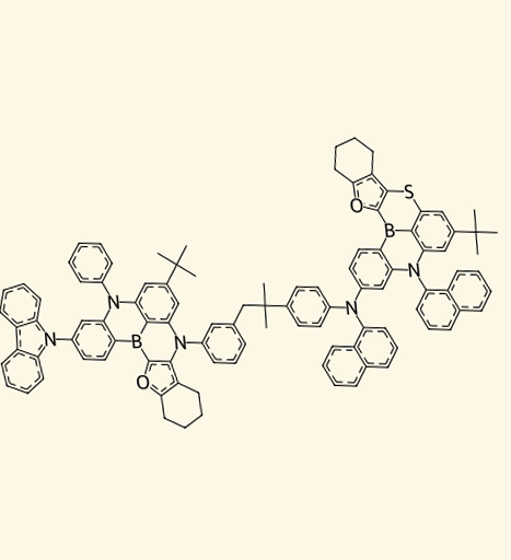 CC(C)(C)c1cc2c3c(c1)N(c1cccc4ccccc14)c1cc(N(c4ccc(C(C)(C)Cc5cccc(N6c7cc(C(C)(C)C)cc8c7B(c7ccc(-n9c%10ccccc%10c%10ccccc%109)cc7N8c7ccccc7)c7oc8c(c76)CCCC8)c5)cc4)c4cccc5ccccc45)ccc1B3c1oc3c(c1S2)CCCC3